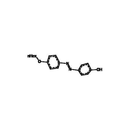 CCCCCCOc1ccc(N=Nc2ccc(O)cc2)cc1